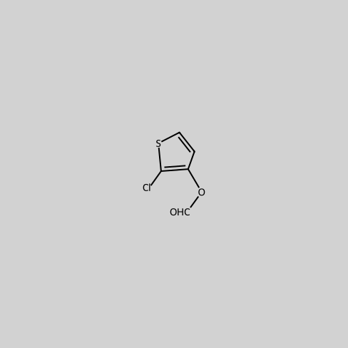 O=COc1ccsc1Cl